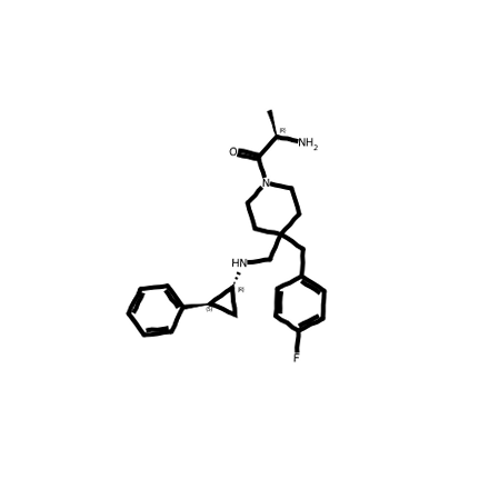 C[C@@H](N)C(=O)N1CCC(CN[C@@H]2C[C@H]2c2ccccc2)(Cc2ccc(F)cc2)CC1